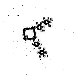 C1=Cc2cc3ccc(cc4nc(cc5ccc(cc1n2)[nH]5)C=C4)[nH]3.Oc1c(F)c(F)c(F)c(F)c1F.Oc1c(F)c(F)c(F)c(F)c1F.Oc1c(F)c(F)c(F)c(F)c1F.Oc1c(F)c(F)c(F)c(F)c1F.[Pt]